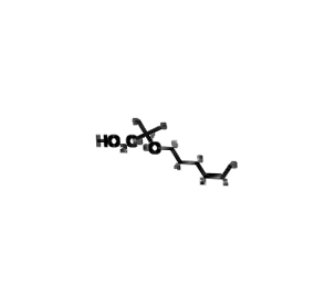 C/C=C\CCCOC(C)(C)C(=O)O